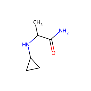 CC(NC1CC1)C(N)=O